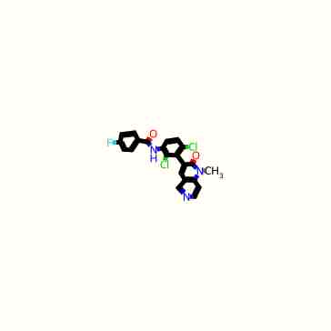 Cn1c(=O)c(-c2c(Cl)ccc(NC(=O)c3ccc(F)cc3)c2Cl)cc2cnccc21